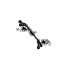 CC(C)N(CC[C@H](c1ccccc1)c1cc(OCCCCCCCOC(=O)NC(=O)OCCCCCCCOc2ccc(OCc3ccccc3)c([C@H](CCN(C(C)C)C(C)C)c3ccccc3)c2)ccc1OCc1ccccc1)C(C)C